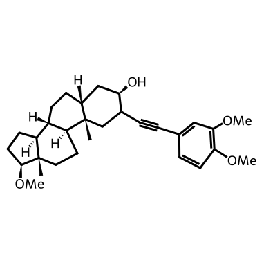 COc1ccc(C#CC2C[C@@]3(C)[C@H](CC[C@@H]4[C@@H]3CC[C@]3(C)[C@@H](OC)CC[C@@H]43)C[C@H]2O)cc1OC